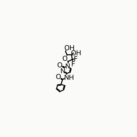 O=C(Nc1ccn(C2OC(CO)C(O)C2(F)F)c(=O)n1)c1ccccc1